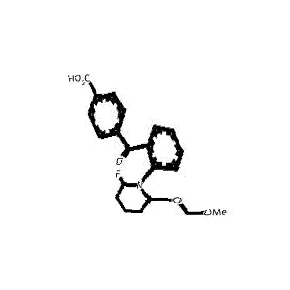 COCOC1CCCC(F)N1c1ccccc1C(=O)c1ccc(C(=O)O)cc1